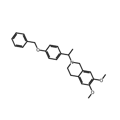 COc1cc2c(cc1OC)CN(C(C)c1ccc(OCc3ccccc3)cc1)CC2